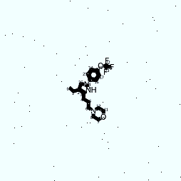 CCC1=C(CCCN2CCOCC2)NN(c2ccc(OC(F)(F)F)cc2)C1